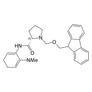 CNC1=CCCC=C1NC(=O)[C@@H]1CCCN1COCC1c2ccccc2-c2ccccc21